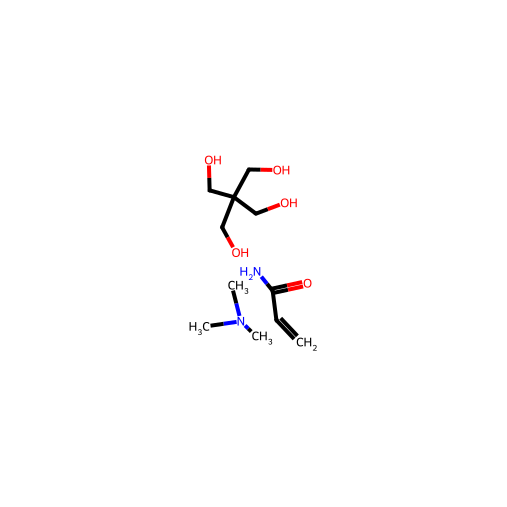 C=CC(N)=O.CN(C)C.OCC(CO)(CO)CO